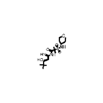 CC(C)(C)/C(O)=C/C(=N)NC(=O)C(C)(C)S(=O)(=O)NC1CCOCC1